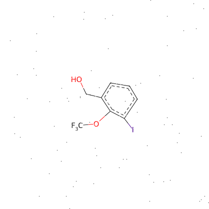 OCc1cccc(I)c1OC(F)(F)F